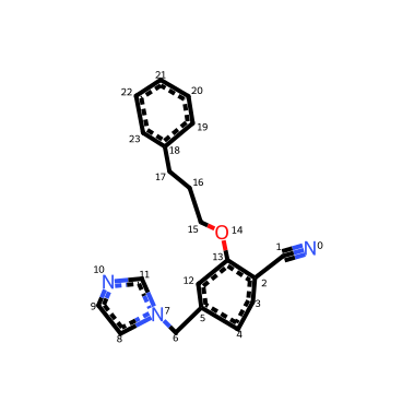 N#Cc1ccc(Cn2ccnc2)cc1OCCCc1ccccc1